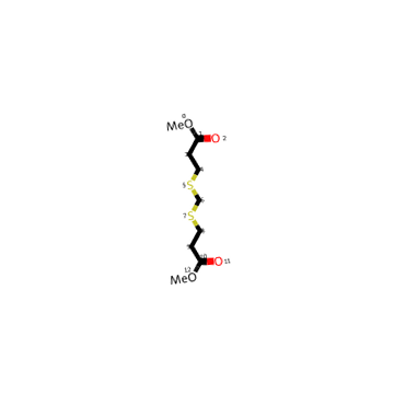 COC(=O)CCSCSCCC(=O)OC